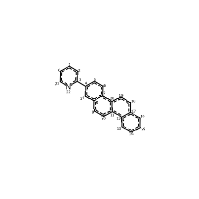 c1ccc(-c2ccc3c(ccc4c5ccccc5ccc34)c2)nc1